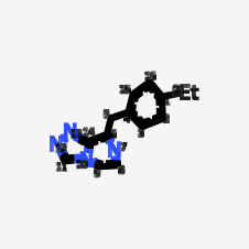 CCc1ccc(Cc2nccn3cnnc23)cc1